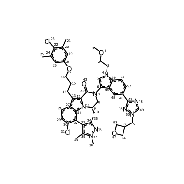 COCCn1cc(N2C[C@@H](C)n3c(c(CCCOc4cc(C)c(Cl)c(C)c4)c4ccc(Cl)c(-c5c(C)nn(C)c5C)c43)C2=O)c2cc(-c3ncn(CC4COC4)n3)ccc21